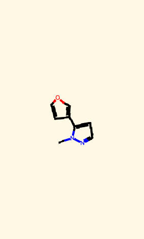 Cn1nccc1-c1ccoc1